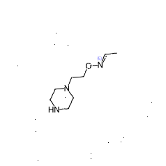 C/C=N/OCCN1CCNCC1